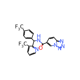 O=C(NC(c1ccc(C(F)(F)F)cc1)c1ncccc1C(F)(F)F)c1ccc2nnnn2c1